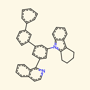 c1ccc(-c2cccc(-c3cc(-c4nccc5ccccc45)cc(-n4c5c(c6ccccc64)CCCC5)c3)c2)cc1